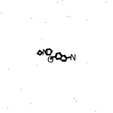 N#Cc1ccc2cc(C(=O)[C@H]3CCCN(C4CCC4)C3)ccc2c1